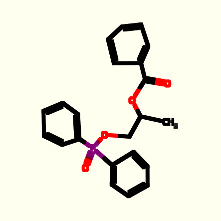 CC(COP(=O)(c1ccccc1)c1ccccc1)OC(=O)c1ccccc1